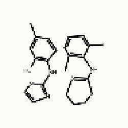 Cc1ccc(Nc2nccs2)c(O)c1.Cc1cccc(C)c1NC1=NCCCS1